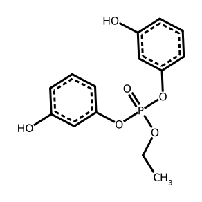 CCOP(=O)(Oc1cccc(O)c1)Oc1cccc(O)c1